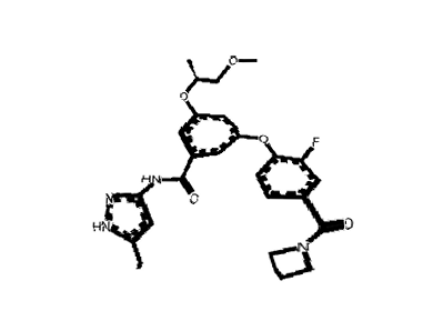 COC[C@H](C)Oc1cc(Oc2ccc(C(=O)N3CCC3)cc2F)cc(C(=O)Nc2cc(C)[nH]n2)c1